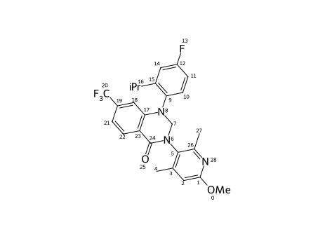 COc1cc(C)c(N2CN(c3ccc(F)cc3C(C)C)c3cc(C(F)(F)F)ccc3C2=O)c(C)n1